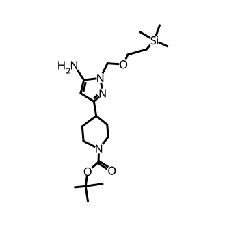 CC(C)(C)OC(=O)N1CCC(c2cc(N)n(COCC[Si](C)(C)C)n2)CC1